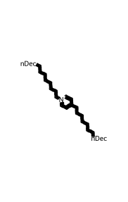 CCCCCCCCCCCCCCCCCC[n+]1ccc(CCCCCCCCCCCCCCCCC)cc1